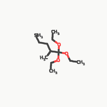 CCOC(OCC)(OCC)C(C)CC[SiH3]